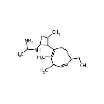 CCC1/C=C\C(C)/C(C)=C(/C2C(C)CC2NC(C)N)CC1